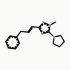 Cn1nc(/C=C/Cc2ccccc2)nc1N1CCCC1